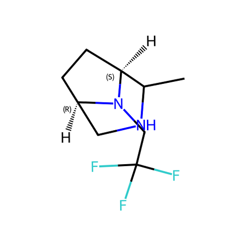 CC1NC[C@H]2CC[C@@H]1N2CC(F)(F)F